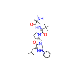 CN[C@@](C)(C=O)CN[C@H](C(=O)N1CCC[C@H]1CN(CCc1ccccc1)C(=O)[C@H](N)CC(C)C)C(C)(C)C